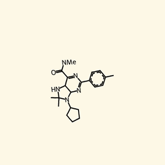 CNC(=O)C1=NC(c2ccc(C)cc2)=NC2C1NC(C)(C)N2C1CCCC1